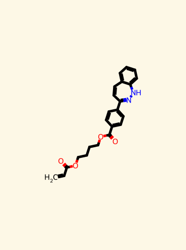 C=CC(=O)OCCCCOC(=O)c1ccc(C2=NNc3ccccc3C=C2)cc1